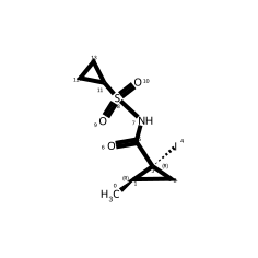 C[C@@H]1C[C@]1(I)C(=O)NS(=O)(=O)C1CC1